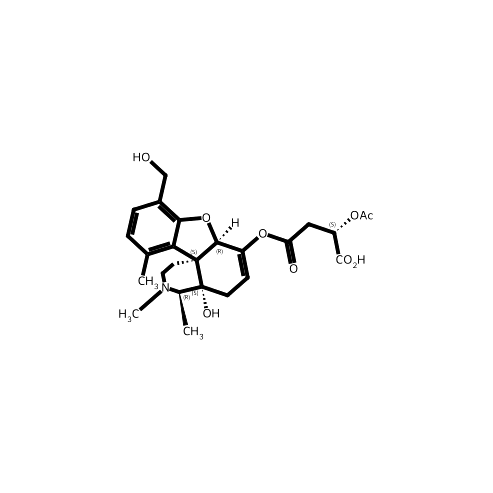 CC(=O)O[C@@H](CC(=O)OC1=CC[C@@]2(O)[C@@H](C)N(C)CC[C@@]23c2c(C)ccc(CO)c2O[C@@H]13)C(=O)O